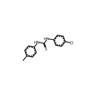 Cc1ccc(NC(=S)Nc2ccc(Cl)cc2)cc1